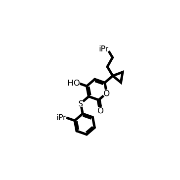 CC(C)CCC1(c2cc(O)c(Sc3ccccc3C(C)C)c(=O)o2)CC1